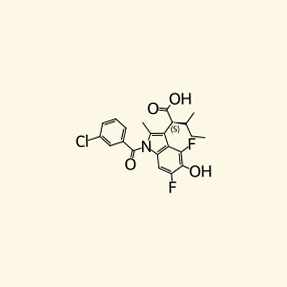 CCC(C)[C@H](C(=O)O)c1c(C)n(C(=O)c2cccc(Cl)c2)c2cc(F)c(O)c(F)c12